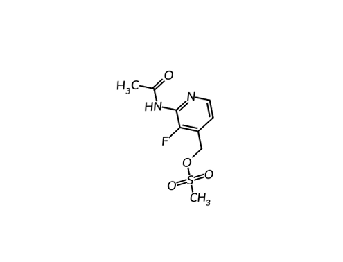 CC(=O)Nc1nccc(COS(C)(=O)=O)c1F